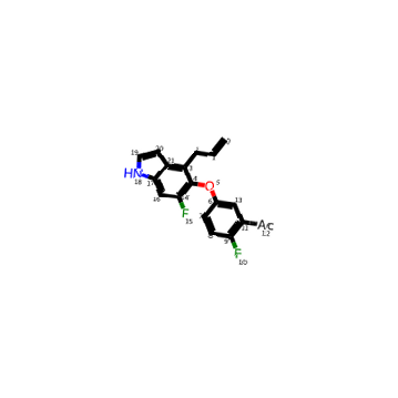 C=CCc1c(Oc2ccc(F)c(C(C)=O)c2)c(F)cc2[nH]ccc12